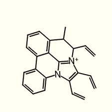 C=Cc1c(C=C)[n+]2c3c4c(cccc4c4ccccc4n13)C(C)C2C=C